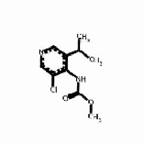 COC(=O)Nc1c(Cl)cncc1C(C)C